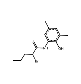 CCCC(Br)C(=O)Nc1cc(C)cc(C)c1O